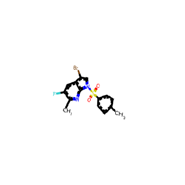 Cc1ccc(S(=O)(=O)n2cc(Br)c3cc(F)c(C)nc32)cc1